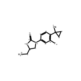 N#CC1(c2ccc(N3CC(CN)OC3=O)cc2F)CC1